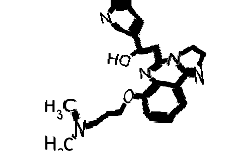 CN(C)CCCOc1cccc2c1N=C(/C=C(\O)c1cccnc1)N1CCN=C21